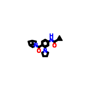 O=C(Nc1ccc(C(=O)N2CC3CC(C3)C2)c(N2CCCC2)c1)C1CC1